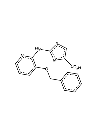 O=C(O)c1csc(Nc2ncccc2OCc2ccccc2)n1